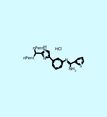 CCCCCC(CCCCC)c1nc(-c2cccc(N=C(N)c3cccs3)c2)c[nH]1.Cl